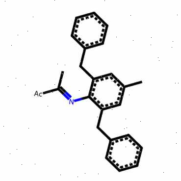 CC(=O)C(C)=Nc1c(Cc2ccccc2)cc(C)cc1Cc1ccccc1